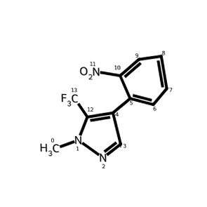 Cn1n[c]c(-c2ccccc2[N+](=O)[O-])c1C(F)(F)F